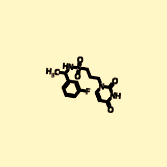 CC(NS(=O)(=O)CCCn1ccc(=O)[nH]c1=O)c1cccc(F)c1